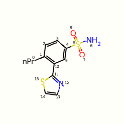 CCCc1ccc(S(N)(=O)=O)cc1-c1nccs1